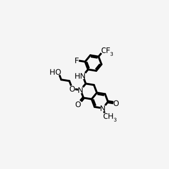 Cn1cc2c(cc1=O)CC(Nc1ccc(C(F)(F)F)cc1F)N(OCCO)C2=O